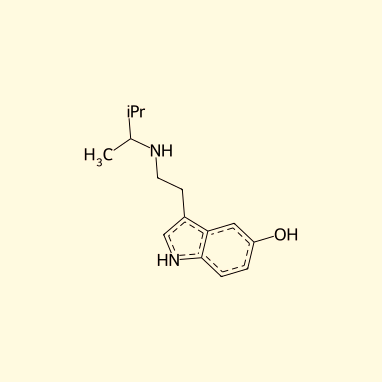 CC(C)C(C)NCCc1c[nH]c2ccc(O)cc12